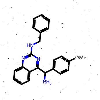 COc1ccc(C(N)c2nc(NCc3ccccc3)nc3ccccc23)cc1